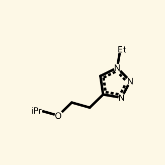 CCn1cc(CCOC(C)C)nn1